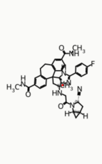 CNC(=O)c1ccc2c(c1)CCc1cc(C(=O)NC)ccc1C2(C[C@H](C)NCC(=O)N1[C@H](C#N)C[C@@H]2C[C@@H]21)c1nnc(-c2ccc(F)cc2)[nH]1